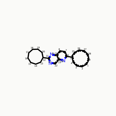 c1ccccc(-c2ccc3nc(C4CCCCCCCC4)ncc3n2)cccc1